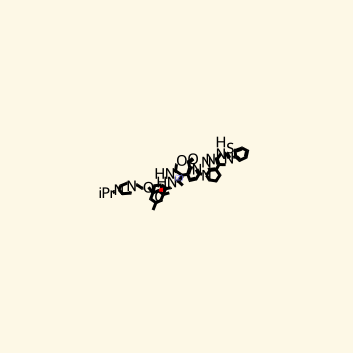 C/C(NCC1CC2(C)CC3(C)CC1CC(OCCN1CCN(C(C)C)CC1)(C2)C3)=C1/C(=N)COC(=O)c2nc(N3CCCc4c3nnc(Nc3nc5ccccc5s3)c4C)ccc21